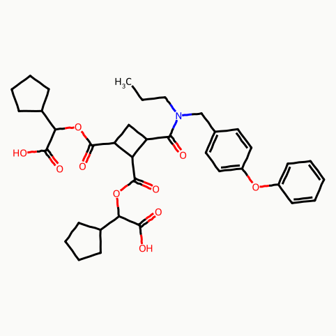 CCCN(Cc1ccc(Oc2ccccc2)cc1)C(=O)C1CC(C(=O)OC(C(=O)O)C2CCCC2)C1C(=O)OC(C(=O)O)C1CCCC1